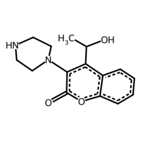 CC(O)c1c(N2CCNCC2)c(=O)oc2ccccc12